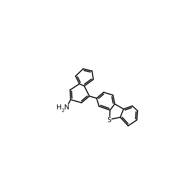 Nc1cc(-c2ccc3c(c2)sc2ccccc23)c2ccccc2c1